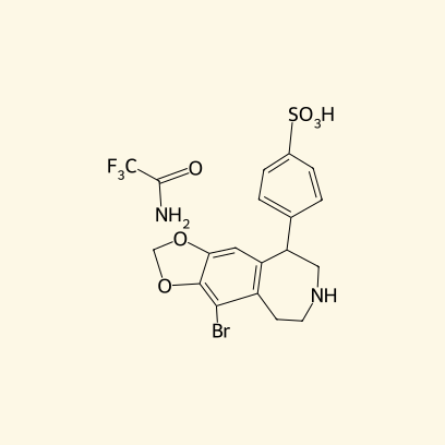 NC(=O)C(F)(F)F.O=S(=O)(O)c1ccc(C2CNCCc3c2cc2c(c3Br)OCO2)cc1